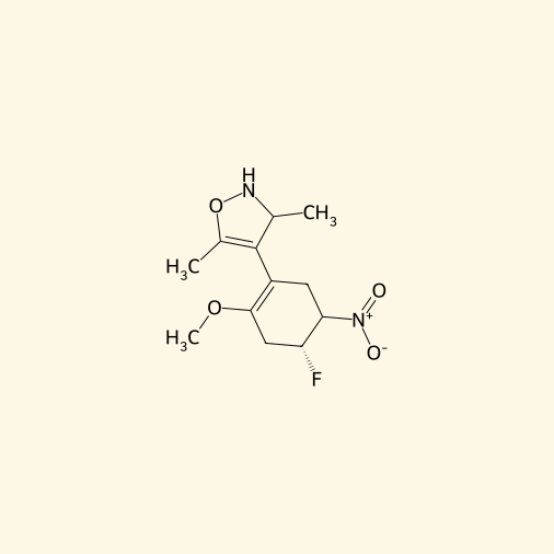 COC1=C(C2=C(C)ONC2C)CC([N+](=O)[O-])[C@H](F)C1